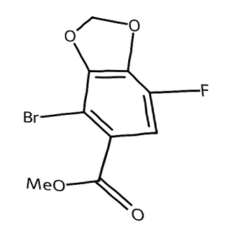 COC(=O)c1cc(F)c2c(c1Br)OCO2